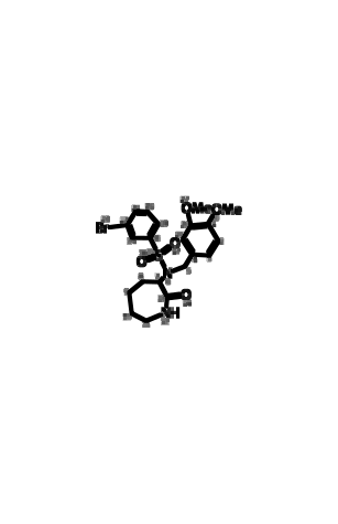 COc1ccc(CN(C2CCCCNC2=O)S(=O)(=O)c2cccc(Br)c2)cc1OC